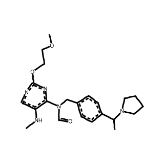 CNc1cnc(OCCOC)nc1N(C=O)Cc1ccc(C(C)N2CCCC2)cc1